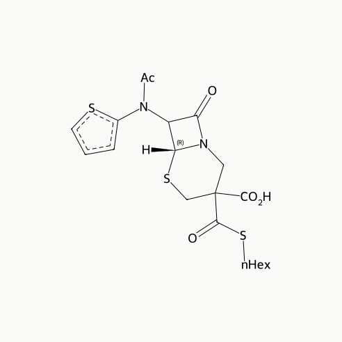 CCCCCCSC(=O)C1(C(=O)O)CS[C@@H]2C(N(C(C)=O)c3cccs3)C(=O)N2C1